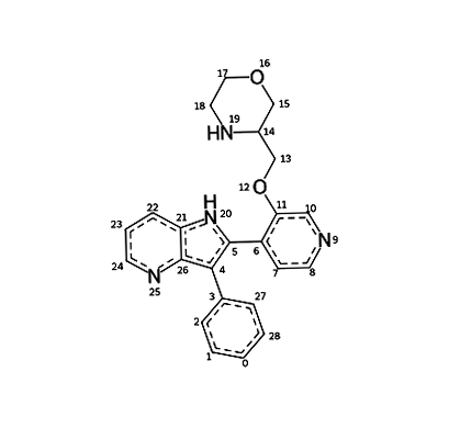 c1ccc(-c2c(-c3ccncc3OCC3COCCN3)[nH]c3cccnc23)cc1